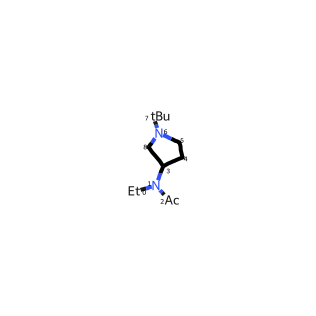 CCN(C(C)=O)C1CCN(C(C)(C)C)C1